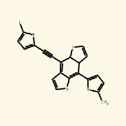 Cc1ccc(C2=c3sccc3=C(C#Cc3ccc(I)s3)C3SC=CC23)s1